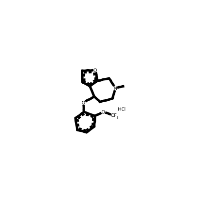 CN1CCC(Oc2ccccc2OC(F)(F)F)c2ccoc2C1.Cl